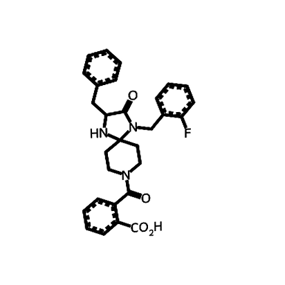 O=C(O)c1ccccc1C(=O)N1CCC2(CC1)NC(Cc1ccccc1)C(=O)N2Cc1ccccc1F